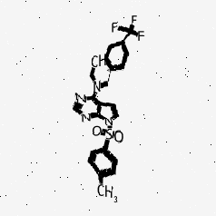 CCN(C[C@H]1CC[C@H](C(F)(F)F)CC1)c1ncnc2c1ccn2S(=O)(=O)c1ccc(C)cc1